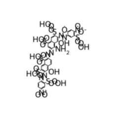 COc1cc([N+](=O)[O-])c(SOOO)cc1N=Nc1c(SOOO)cc2c(S(=O)(=O)O)cc(N=Nc3ccc4c(O)c(N=Nc5ccc([N+](=O)[O-])cc5SOOO)c(S(=O)(=O)O)cc4c3S(=O)(=O)O)c(N)c2c1O